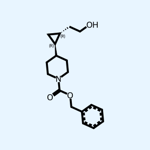 O=C(OCc1ccccc1)N1CCC([C@H]2C[C@@H]2CCO)CC1